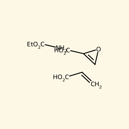 C=CC(=O)O.CCOC(N)=O.O=C(O)C1=CO1